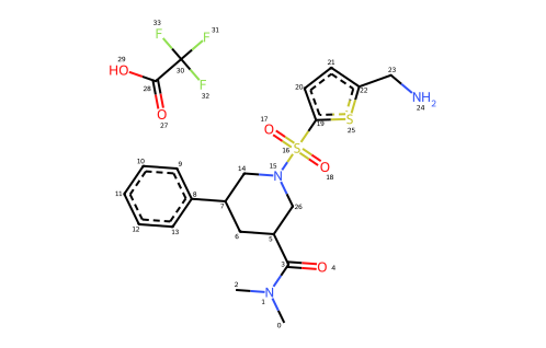 CN(C)C(=O)C1CC(c2ccccc2)CN(S(=O)(=O)c2ccc(CN)s2)C1.O=C(O)C(F)(F)F